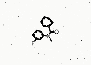 CN(C(=O)c1ccccc1)c1cccc(F)c1